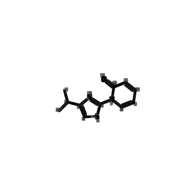 CC(C)c1csc(-n2ccccc2=O)n1